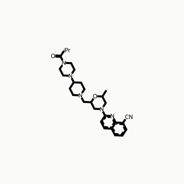 CC1CN(c2ccc3cccc(C#N)c3n2)CC(CN2CCC(N3CCN(C(=O)C(C)C)CC3)CC2)O1